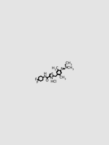 CCN(C)C=Nc1cc(C)c(Cc2nc(C(=O)NC3CCC(F)(F)CC3)cs2)cc1C.Cl